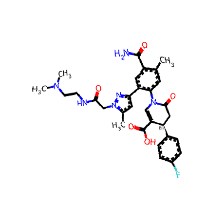 Cc1cc(N2C=C(C(=O)O)[C@H](c3ccc(F)cc3)CC2=O)c(-c2cc(C)n(CC(=O)NCCN(C)C)n2)cc1C(N)=O